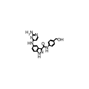 Nc1nccc(Nc2ccc3[nH]nc(C(=O)Nc4ccc(CO)cc4)c3c2)n1